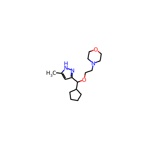 Cc1cc(C(OCCN2CCOCC2)C2CCCC2)n[nH]1